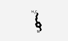 CCCC=Cc1ccc(CBr)cc1